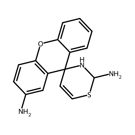 Nc1ccc2c(c1)C1(C=CSC(N)N1)c1ccccc1O2